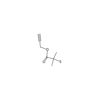 C#CCOC(=O)C(C)(C)[S]